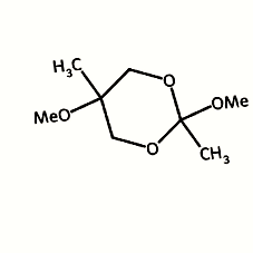 COC1(C)COC(C)(OC)OC1